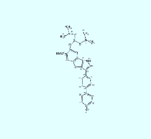 COc1cc2c(cc1OC(CN(C)C)CN(C)C)-c1[nH]nc(-c3ccc(-c4ccc(O)cc4)cc3)c1C2